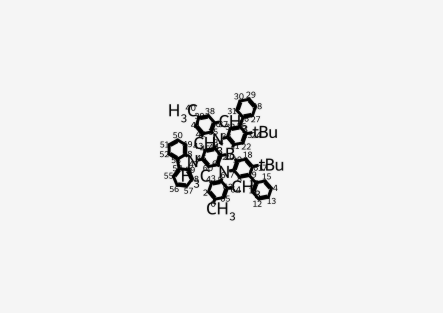 Cc1cc(C)c(N2c3cc(-c4ccccc4)c(C(C)(C)C)cc3B3c4cc(C(C)(C)C)c(-c5ccccc5)cc4N(c4c(C)cc(C)cc4C)c4cc(-n5c6ccccc6c6ccccc65)cc2c43)c(C)c1